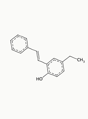 CCc1ccc(O)c(C=Cc2ccccc2)c1